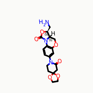 NC[C@@H]1OC(=O)N2c3ccc(N4CCC5(CC4=O)OCCO5)cc3OC[C@@H]12